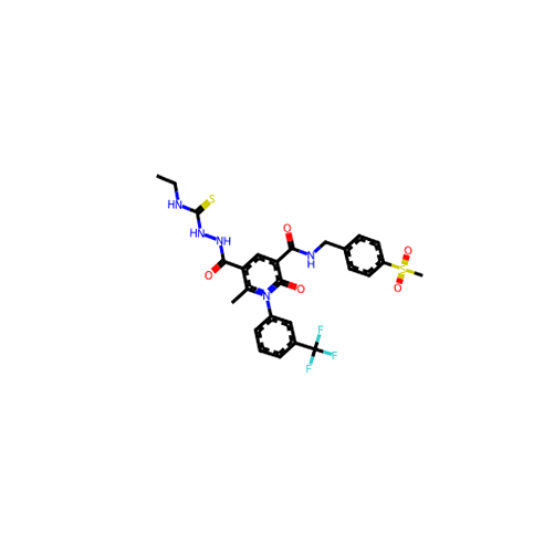 CCNC(=S)NNC(=O)c1cc(C(=O)NCc2ccc(S(C)(=O)=O)cc2)c(=O)n(-c2cccc(C(F)(F)F)c2)c1C